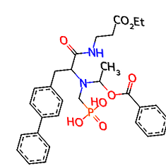 CCOC(=O)CCNC(=O)C(Cc1ccc(-c2ccccc2)cc1)N(CP(=O)(O)O)C(C)OC(=O)c1ccccc1